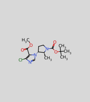 COC(=O)c1c(Cl)ncn1[C@@H]1CCN(C(=O)OC(C)(C)C)[C@H]1C